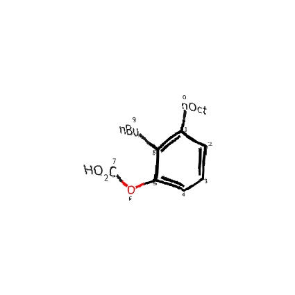 CCCCCCCCc1cccc(OC(=O)O)c1CCCC